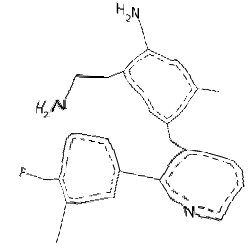 Cc1cc(-c2ncccc2-c2cc(CN)c(N)cc2C)ccc1F